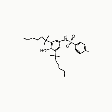 CCCCCC(C)(C)c1cc(NS(=O)(=O)c2ccc(C)cc2)cc(C(C)(C)CCCCC)c1O